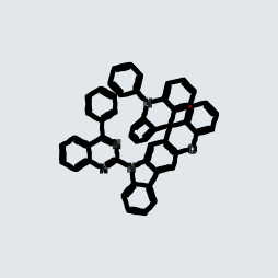 c1ccc(-c2nc(-n3c4ccccc4c4cc5c(cc43)C3(c4ccccc4O5)c4ccccc4N(c4ccccc4)c4ccccc43)nc3ccccc23)cc1